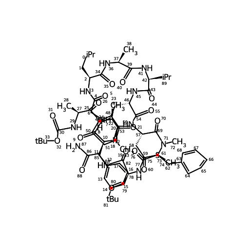 CC(C)C[C@H](NC(=O)CNC(=O)[C@H](Cc1ccccc1)N(C)C(=O)[C@H](C)NC(=O)[C@H](C)NC(=O)OC(C)(C)C)C(=O)N[C@@H](C)C(=O)N[C@H](C(=O)N[C@@H](Cc1ccccc1)C(=O)N[C@@H](CC(=O)SCc1ccccc1)C(=O)N(C)[C@@H](C)C(=O)N[C@@H](COC(C)(C)C)C(=O)NCC(N)=O)C(C)C